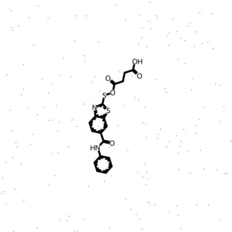 O=C(O)CCC(=O)OSc1nc2ccc(C(=O)Nc3ccccc3)cc2s1